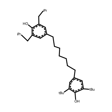 CC(C)Cc1cc(CCCCCCCc2cc(C(C)(C)C)c(O)c(C(C)(C)C)c2)cc(CC(C)C)c1O